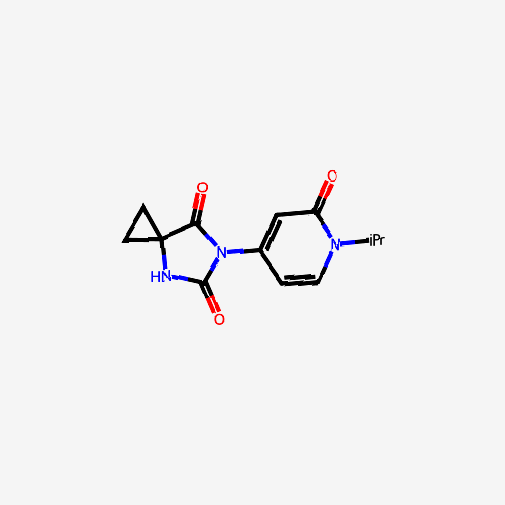 CC(C)n1ccc(N2C(=O)NC3(CC3)C2=O)cc1=O